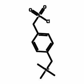 C[N+](C)(C)Cc1ccc(CS(=O)(=O)Cl)cc1